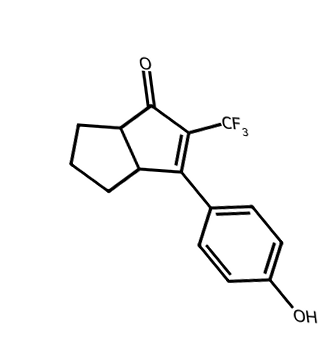 O=C1C(C(F)(F)F)=C(c2ccc(O)cc2)C2CCCC12